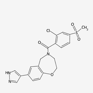 CS(=O)(=O)c1ccc(C(=O)N2CCOc3ccc(-c4cn[nH]c4)cc3C2)c(Cl)c1